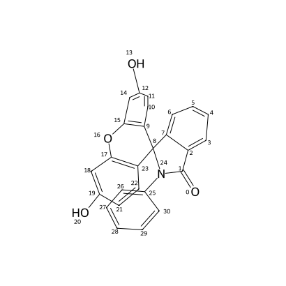 O=C1c2ccccc2C2(c3ccc(O)cc3Oc3cc(O)ccc32)N1c1ccccc1